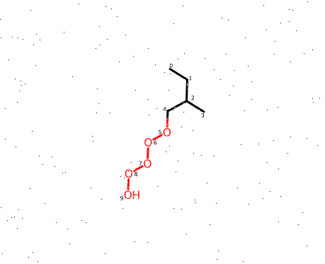 CCC(C)COOOOO